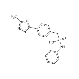 O=P(O)(Cc1ccc(-c2nnc(C(F)(F)F)o2)cc1)Nc1ccccc1